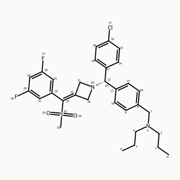 CCCN(CCC)Cc1ccc([C@@H](c2ccc(Cl)cc2)N2CC(=C(c3cc(F)cc(F)c3)S(C)(=O)=O)C2)cc1